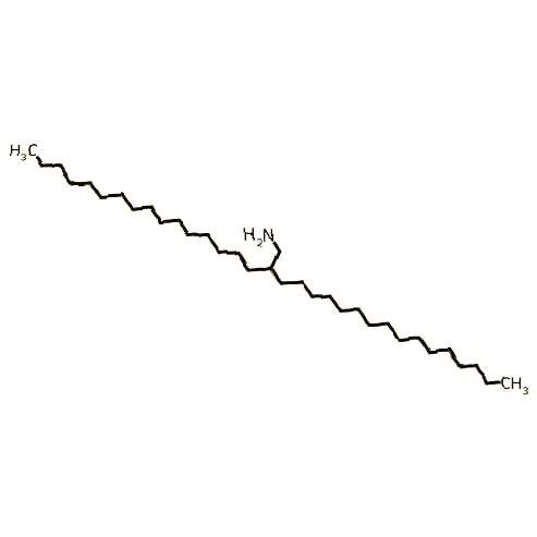 CCCCCCCCCCCCCCCCC(CN)CCCCCCCCCCCCCCCC